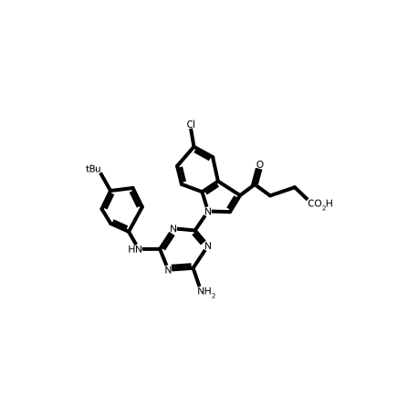 CC(C)(C)c1ccc(Nc2nc(N)nc(-n3cc(C(=O)CCC(=O)O)c4cc(Cl)ccc43)n2)cc1